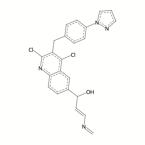 C=N/C=C/C(O)c1ccc2nc(Cl)c(Cc3ccc(-n4cccn4)cc3)c(Cl)c2c1